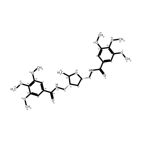 COc1cc(C(=O)NC[C@@H]2C[C@H](CNC(=O)c3cc(OC)c(OC)c(OC)c3)C(C)O2)cc(OC)c1OC